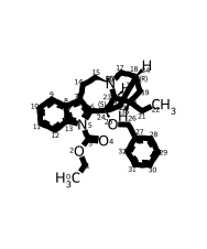 CCOC(=O)n1c2c(c3ccccc31)CC[N@@]1C[C@@H]3C[C@H](CC)[C@H]1[C@@]2(OCc1ccccc1)C3